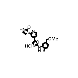 COCc1ccc(C)c(Nc2ncc(-c3ccnc(-n4cc[nH]c4=O)c3)o2)c1.Cl